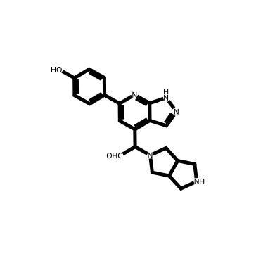 O=CC(c1cc(-c2ccc(O)cc2)nc2[nH]ncc12)N1CC2CNCC2C1